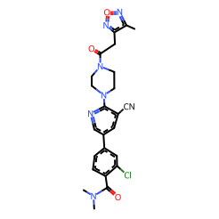 Cc1nonc1CC(=O)N1CCN(c2ncc(-c3ccc(C(=O)N(C)C)c(Cl)c3)cc2C#N)CC1